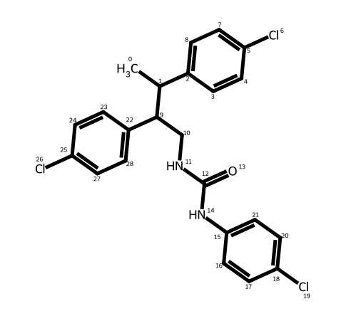 CC(c1ccc(Cl)cc1)C(CNC(=O)Nc1ccc(Cl)cc1)c1ccc(Cl)cc1